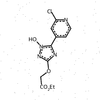 CCOC(=O)COc1nc(-c2ccnc(Cl)c2)n(O)n1